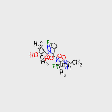 C=CCNC(=O)C1N(C(=O)C(O)C(Cc2cccc(F)c2)NC(=O)c2cc(C)cc(O)c2C)CC(F)(F)C1(C)C